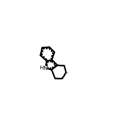 [C]1CCc2[nH]c3ccccc3c2C1